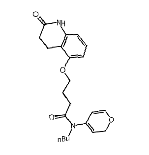 CCCCN(C(=O)CCCOc1cccc2c1CCC(=O)N2)C1=CCOC=C1